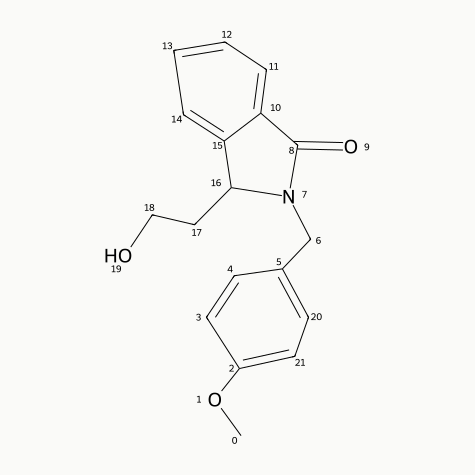 COc1ccc(CN2C(=O)c3ccccc3C2CCO)cc1